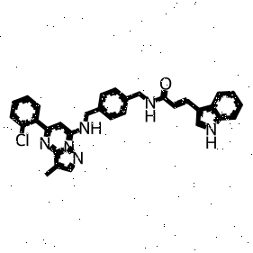 Cc1cnn2c(NCc3ccc(CNC(=O)/C=C/c4c[nH]c5ccccc45)cc3)cc(-c3ccccc3Cl)nc12